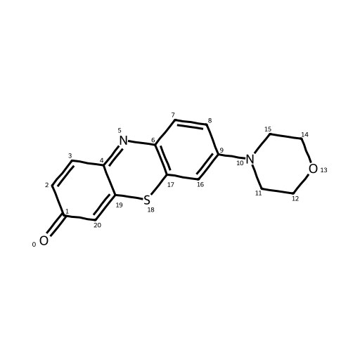 O=c1ccc2nc3ccc(N4CCOCC4)cc3sc-2c1